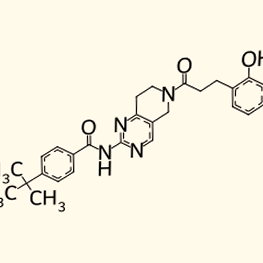 CC(C)(C)c1ccc(C(=O)Nc2ncc3c(n2)CCN(C(=O)CCc2ccccc2O)C3)cc1